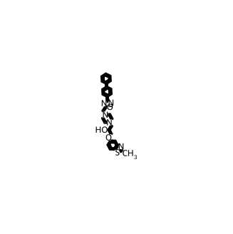 Cc1nc2cc(OC[C@H](O)CN3CCN(Cc4nc(-c5ccc(-c6ccccc6)cc5)no4)CC3)ccc2s1